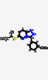 CCOC(=O)C(CC)Sc1ccc2nnc(-c3cccc(OC)c3)n2n1